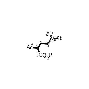 CCN(CC)CCC(C(C)=O)C(=O)O